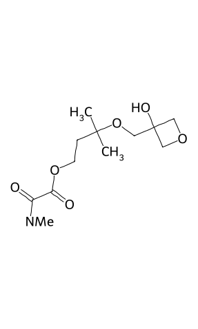 CNC(=O)C(=O)OCCC(C)(C)OCC1(O)COC1